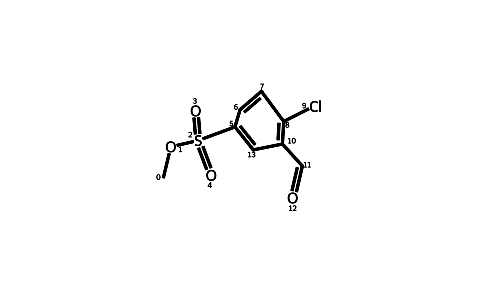 COS(=O)(=O)c1ccc(Cl)c(C=O)c1